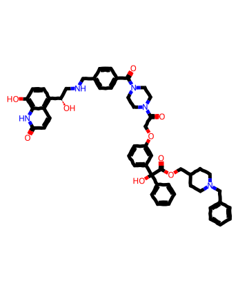 O=C(COc1cccc(C(O)(C(=O)OCC2CCN(Cc3ccccc3)CC2)c2ccccc2)c1)N1CCN(C(=O)c2ccc(CNC[C@H](O)c3ccc(O)c4[nH]c(=O)ccc34)cc2)CC1